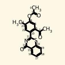 CC(=O)Oc1cc(C(C)=O)c(-c2nc(=O)c3ccccc3s2)cc1C